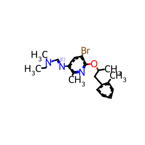 CCN(C)/C=N/c1cc(Br)c(OC(C)Cc2ccccc2C)nc1C